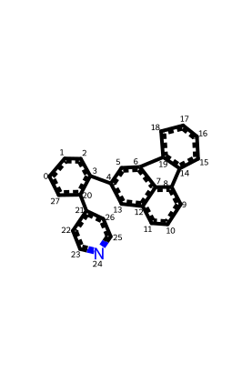 c1ccc(-c2cc3c4c(cccc4c2)-c2ccccc2-3)c(-c2ccncc2)c1